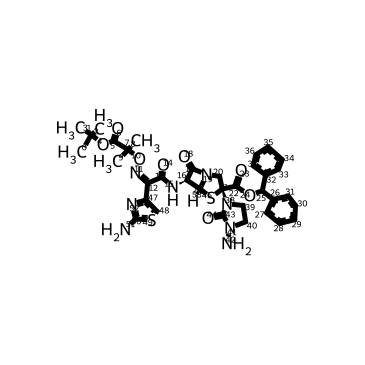 CC(C)(C)OC(=O)C(C)(C)O/N=C(\C(=O)N[C@@H]1C(=O)N2C[C@@](C(=O)OC(c3ccccc3)c3ccccc3)(N3CCN(N)C3=O)S[C@H]12)c1csc(N)n1